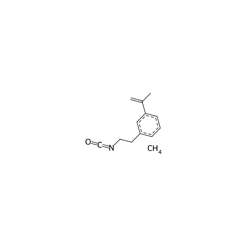 C.C=C(C)c1cccc(CCN=C=O)c1